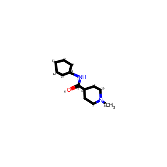 CN1CCC(C(=O)NC2CC[CH]CC2)CC1